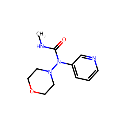 CNC(=O)N(c1cccnc1)N1CCOCC1